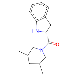 CC1CC(C)CN(C(=O)[C@H]2Cc3ccccc3N2)C1